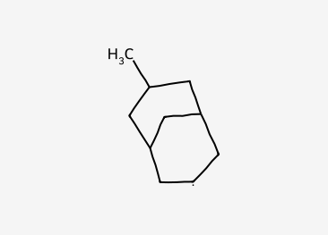 CC1CC2C[CH]CC(C1)C2